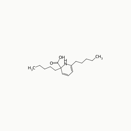 CCCCCC1=CC=CC(CCCCC)(C(=O)O)N1